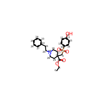 CCOC(=O)C1(CS(=O)(=O)c2ccc(O)cc2)CCN(CCc2ccccc2)CC1